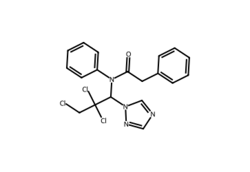 O=C(Cc1ccccc1)N(c1ccccc1)C(n1cncn1)C(Cl)(Cl)CCl